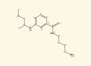 COCC(C)Nc1nccc(C(=O)NCCCCN)n1